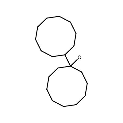 [O]C1(C2CCCCCCCCC2)CCCCCCCCC1